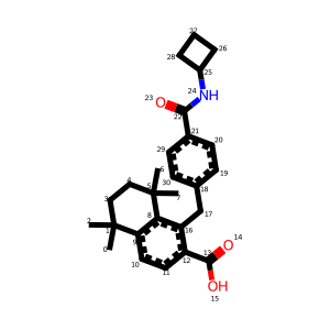 CC1(C)CCC(C)(C)c2c1ccc(C(=O)O)c2Cc1ccc(C(=O)NC2CCC2)cc1